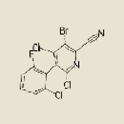 N#Cc1nc(Cl)c(-c2c(F)cccc2Cl)c(Cl)c1Br